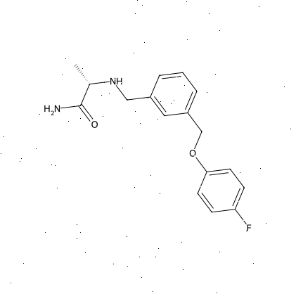 C[C@H](NCc1cccc(COc2ccc(F)cc2)c1)C(N)=O